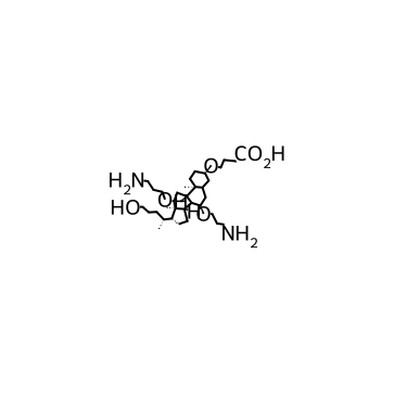 C[C@H](CCCO)[C@H]1CC[C@H]2C3[C@H](OCCCN)CC4C[C@H](OCCCC(=O)O)CC[C@]4(C)[C@H]3C[C@H](OCCCN)[C@]12C